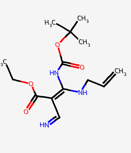 C=CCN/C(NC(=O)OC(C)(C)C)=C(\C=N)C(=O)OCC